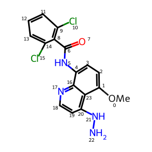 COc1ccc(NC(=O)c2c(Cl)cccc2Cl)c2nccc(NN)c12